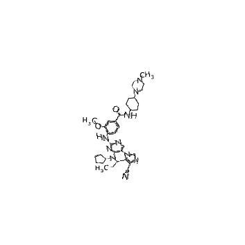 CC[C@@H]1c2c(C#N)ncn2-c2cnc(Nc3ccc(C(=O)NC4CCC(N5CCN(C)CC5)CC4)cc3OC)nc2N1C1CCCC1